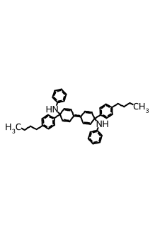 CCCCc1ccc(C2(Nc3ccccc3)C=CC(=C3C=CC(Nc4ccccc4)(c4ccc(CCCC)cc4)C=C3)C=C2)cc1